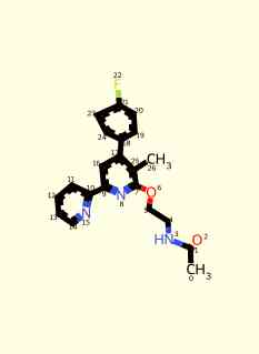 CC(=O)NCCOc1nc(-c2ccccn2)cc(-c2ccc(F)cc2)c1C